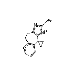 CC(C)c1nc2c([nH]1)C1(CC1)c1ccccc1CC2